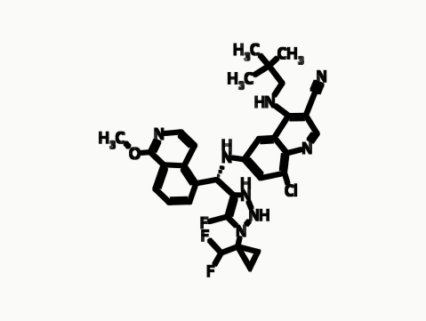 COc1nccc2c([C@H](Nc3cc(Cl)c4ncc(C#N)c(NCC(C)(C)C)c4c3)C3=C(F)N(C4(C(F)F)CC4)NN3)cccc12